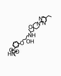 CCc1cnc(N2CCC3(CC2)CC(NCC(O)COc2cccc(S(=O)(=O)NC)c2)CO3)nc1